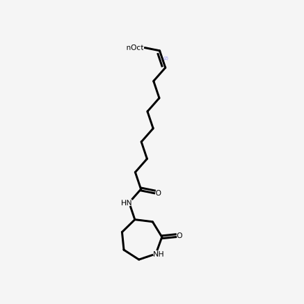 CCCCCCCC/C=C\CCCCCCCC(=O)NC1CCCNC(=O)C1